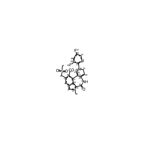 Cn1cc2cc(CS(C)(=O)=O)c(C(=O)O)c3c2c1C(=O)NC1=CCN(c2ncc(F)cc2F)C=C13